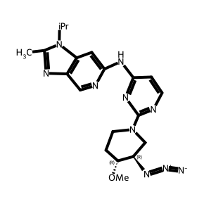 CO[C@@H]1CCN(c2nccc(Nc3cc4c(cn3)nc(C)n4C(C)C)n2)C[C@H]1N=[N+]=[N-]